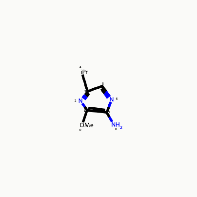 COc1nc(C(C)C)cnc1N